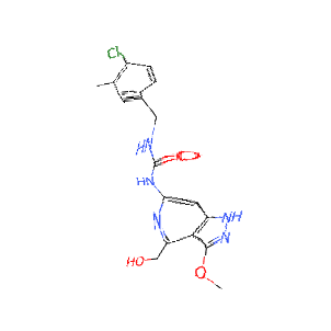 COc1n[nH]c2cc(NC(=O)NCc3ccc(Cl)c(C)c3)nc(CO)c12